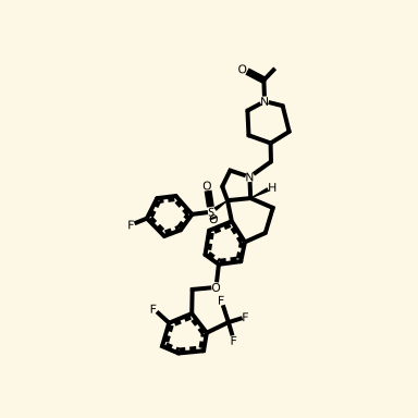 CC(=O)N1CCC(CN2CC[C@@]3(S(=O)(=O)c4ccc(F)cc4)c4ccc(OCc5c(F)cccc5C(F)(F)F)cc4CC[C@@H]23)CC1